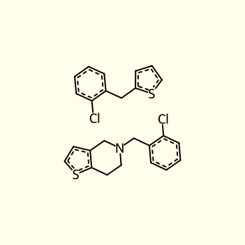 Clc1ccccc1CN1CCc2sccc2C1.Clc1ccccc1Cc1cccs1